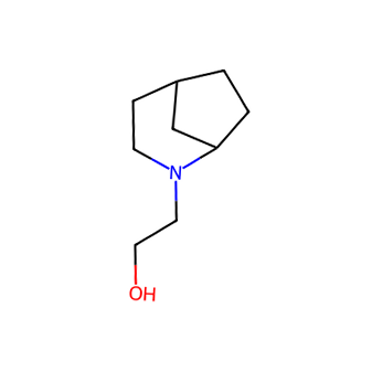 OCCN1CCC2CCC1C2